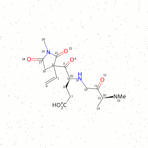 C=CC1(C(=O)[C@H](CCC(=O)O)NCC(=O)[C@H](C)NC)CC(=O)N(C)C1=O